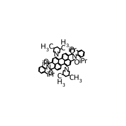 CC1CC(C)CN(c2cc3c4c(ccc5c6c(N7CC(C)CC(C)C7)cc7c8c(ccc(c2c45)c86)C(=O)N(c2c(C(C)C)cccc2C(C)C)C7=O)C(=O)N(c2c(C(C)C)cccc2C(C)C)C3=O)C1